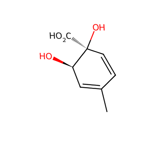 CC1=C[C@@H](O)[C@](O)(C(=O)O)C=C1